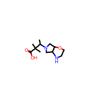 CC(N1CC2NCCOC2C1)C(C)(C)C(=O)O